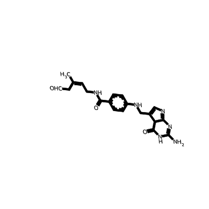 C/C(=C/CNC(=O)c1ccc(NCC2=CN=C3N=C(N)NC(=O)C23)cc1)CC=O